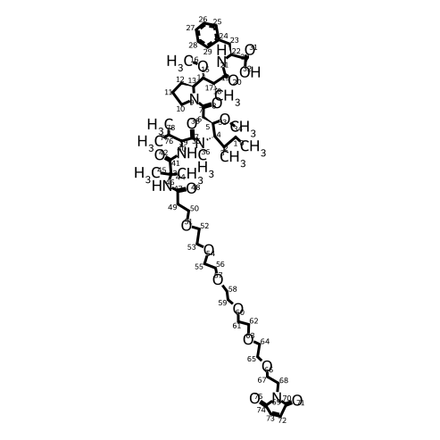 CC[C@H](C)[C@@H]([C@@H](CC(=O)N1CCC[C@H]1[C@H](OC)[C@@H](C)C(=O)N[C@@H](Cc1ccccc1)C(=O)O)OC)N(C)C(=O)[C@@H](NC(=O)C(C)(C)NC(=O)CCOCCOCCOCCOCCOCCOCCN1C(=O)C=CC1=O)C(C)C